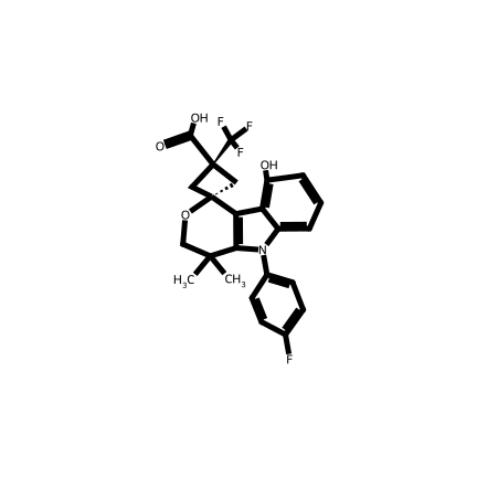 CC1(C)CO[C@]2(C[C@](C(=O)O)(C(F)(F)F)C2)c2c1n(-c1ccc(F)cc1)c1cccc(O)c12